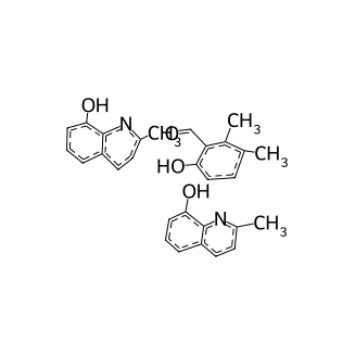 Cc1ccc(O)c(C=O)c1C.Cc1ccc2cccc(O)c2n1.Cc1ccc2cccc(O)c2n1